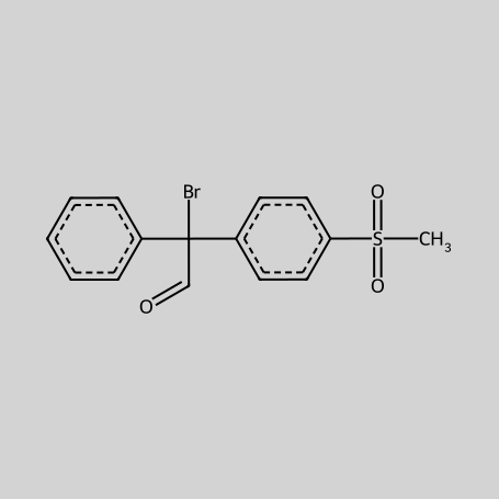 CS(=O)(=O)c1ccc(C(Br)(C=O)c2ccccc2)cc1